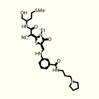 CCn1c(=C(C#N)C(=O)NC(CO)CCSC)sc(=CNc2cccc(C(=O)NCCCN3CCCC3)c2)c1=O